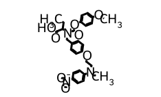 CCC(C(=O)O)N(Cc1ccc(OCCN(C)c2ccc([N+](=O)[O-])cc2)cc1)C(=O)Oc1ccc(OC)cc1